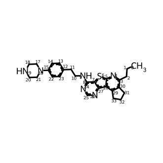 CCCc1nc2sc3c(NCCc4ccc(N5CCNCC5)cc4)ncnc3c2c2c1CCC2